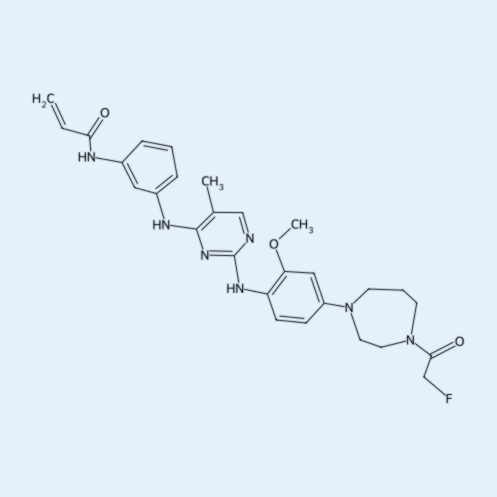 C=CC(=O)Nc1cccc(Nc2nc(Nc3ccc(N4CCCN(C(=O)CF)CC4)cc3OC)ncc2C)c1